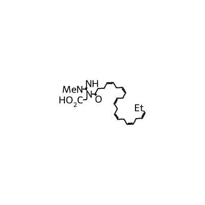 CC/C=C\C/C=C\C/C=C\C/C=C\C/C=C\C/C=C\CCC(=O)N(CC(=O)O)C(=N)NC